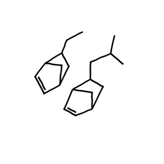 CC(C)CC1CC2C=CC1C2.CCC1CC2C=CC1C2